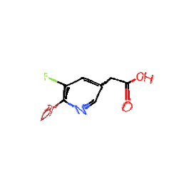 O=C(O)Cc1cnc(Br)c(F)c1